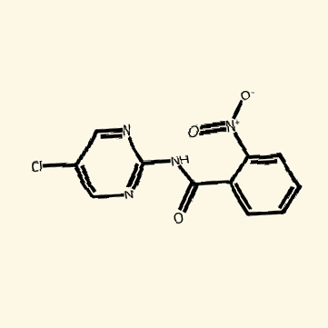 O=C(Nc1ncc(Cl)cn1)c1ccccc1[N+](=O)[O-]